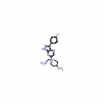 CC1CC[N+](CN)(c2cnc3c(-c4ccc(Cl)cc4)n[nH]c3n2)CC1